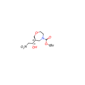 CC(C)(C)OC(=O)N1CCOC[C@H]([C@H](O)C[N+](=O)[O-])C1